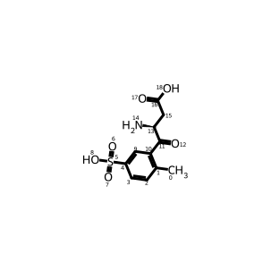 Cc1ccc(S(=O)(=O)O)cc1C(=O)[C@@H](N)CC(=O)O